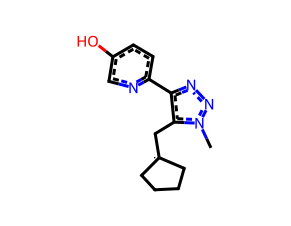 Cn1nnc(-c2ccc(O)cn2)c1C[C]1CCCC1